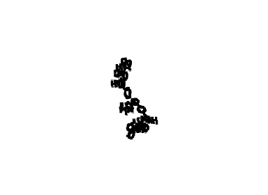 COC(=O)N[C@H](C(=O)N1CCC[C@H]1c1nc(-c2ccc([C@@H]3CC[C@@H](c4ccc(-c5c[nH]c([C@@H]6CCCN6C(=O)[C@@H](NC(=O)OC)C(C)C)n5)cc4)N3c3ccc(C(F)(F)F)nc3)cc2)c[nH]1)C(C)C